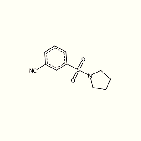 N#Cc1cccc(S(=O)(=O)N2CCCC2)c1